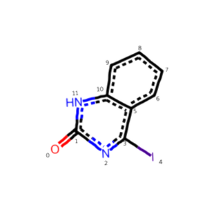 O=c1nc(I)c2ccccc2[nH]1